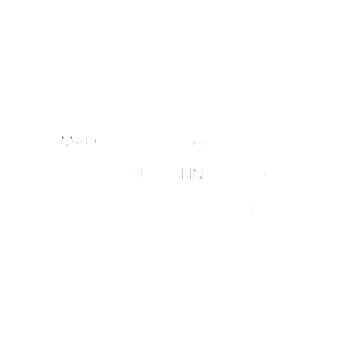 COc1ccc(C=CC(=O)Nc2ccc3c(c2)OCCO3)c(F)c1